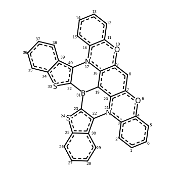 c1ccc2c(c1)oc1cc3oc4ccccc4n4c3c3c1n2-c1c(sc2ccccc12)B3c1sc2ccccc2c1-4